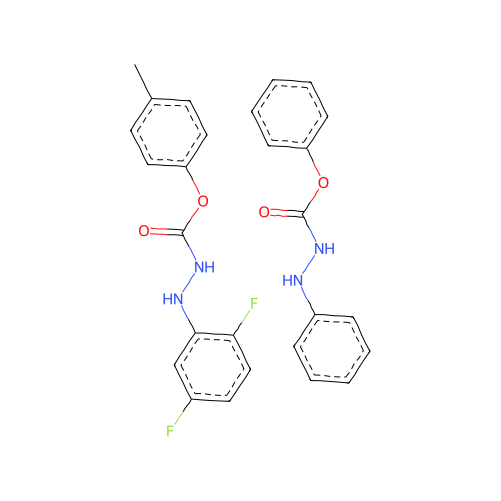 Cc1ccc(OC(=O)NNc2cc(F)ccc2F)cc1.O=C(NNc1ccccc1)Oc1ccccc1